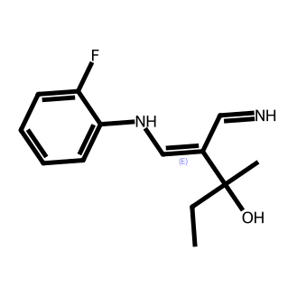 CCC(C)(O)/C(C=N)=C/Nc1ccccc1F